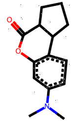 CN(C)c1ccc2c(c1)OC(=O)C1CCCC21